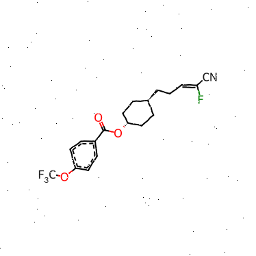 N#CC(F)=CCC[C@H]1CC[C@H](OC(=O)c2ccc(OC(F)(F)F)cc2)CC1